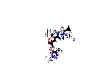 Cc1nc(N(C)C(=O)C2CC2)ncc1[C@H](C)CC1OCC1COc1nc(C(F)(F)F)ncc1C(C)C